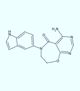 Nc1ncnc2c1C(=O)N(c1ccc3[nH]ccc3c1)CCO2